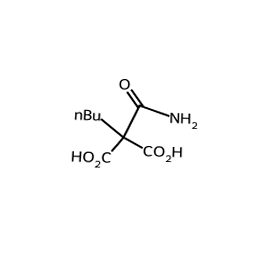 CCCCC(C(N)=O)(C(=O)O)C(=O)O